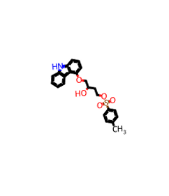 Cc1ccc(S(=O)(=O)OCCC(O)COc2cccc3[nH]c4ccccc4c23)cc1